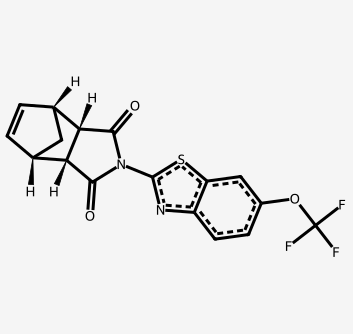 O=C1[C@@H]2[C@H](C(=O)N1c1nc3ccc(OC(F)(F)F)cc3s1)[C@@H]1C=C[C@H]2C1